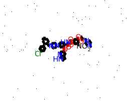 CN1CCN(C[C@H]2COc3cc(S(=O)(=O)NC(=O)c4ccc(N5CCN(CC6=C(c7ccc(Cl)cc7)CC(C)(C)CC6)CC5)cc4Oc4cnc5[nH]ccc5c4)cc([N+](=O)[O-])c3O2)CC1